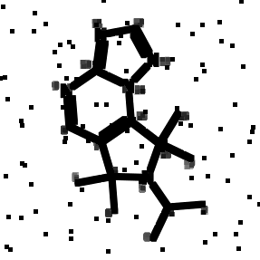 CC(C)N1C(C)(C)c2cnc3ncnn3c2C1(C)C